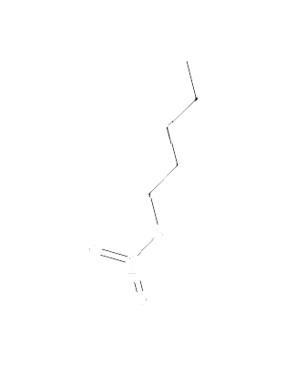 CCCCCS[SH](=O)=O